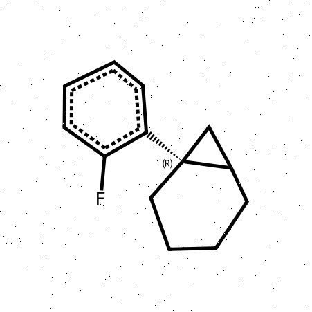 Fc1ccccc1[C@@]12CCCCC1C2